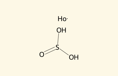 O=S(O)O.[Ho]